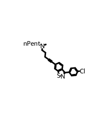 CCCCCN(C)CCCC#Cc1ccc2c(-c3ccc(Cl)cc3)nsc2c1